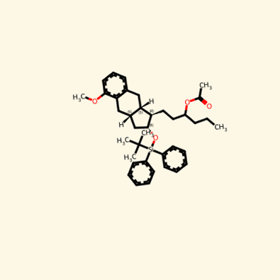 CCCC(CC[C@@H]1[C@H]2Cc3cccc(OC)c3C[C@H]2C[C@H]1O[Si](c1ccccc1)(c1ccccc1)C(C)(C)C)OC(C)=O